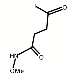 CONC(=O)CCC(=O)I